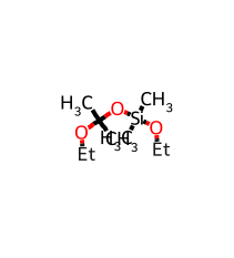 CCOC(C)(C)O[Si](C)(C)OCC